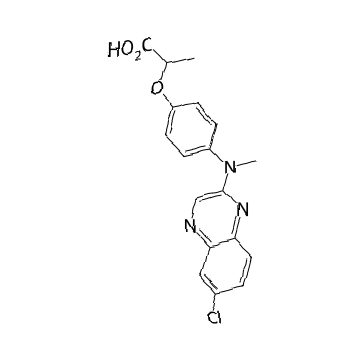 CC(Oc1ccc(N(C)c2cnc3cc(Cl)ccc3n2)cc1)C(=O)O